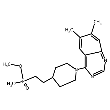 COP(C)(=O)CCC1CCN(c2ncnc3cc(C)c(C)cc23)CC1